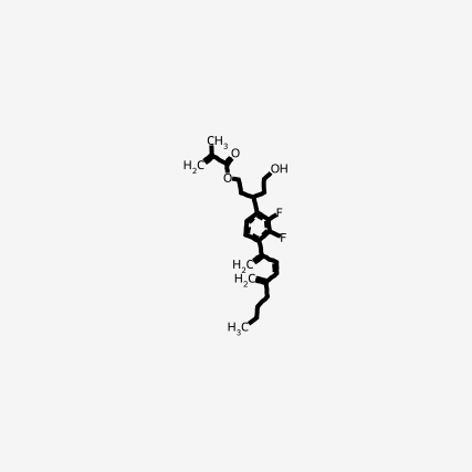 C=C(/C=C\C(=C)c1ccc(C(CCO)CCOC(=O)C(=C)C)c(F)c1F)CCCC